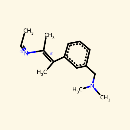 C/C=N\C(C)=C(/C)c1cccc(CN(C)C)c1